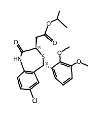 COc1cccc([C@H]2S[C@H](CC(=O)OC(C)C)C(=O)Nc3ccc(Cl)cc32)c1OC